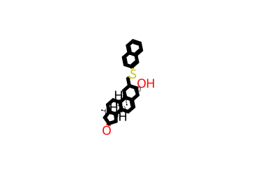 C[C@]12CC[C@H]3[C@@H](CC=C4C[C@@H](O)C(CSc5ccc6ccccc6c5)C[C@@]43C)[C@@H]1CC(=O)C2